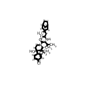 CC(C)[C@@H](NC(=O)CC1(C)CC2CCC(C2)C1)C(=O)N1CC[C@](O)(c2ccc(Cl)cc2)C(C)(C)C1